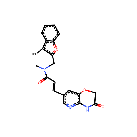 CC(C)c1c(CN(C)C(=O)C=Cc2cnc3c(c2)OCC(=O)N3)oc2ccccc12